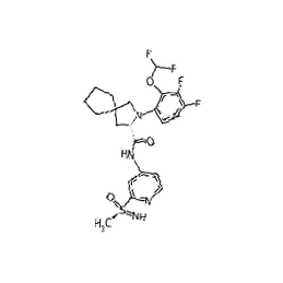 C[S@@](=N)(=O)c1cc(NC(=O)[C@@H]2CC3(CCCC3)CN2c2ccc(F)c(F)c2OC(F)F)ccn1